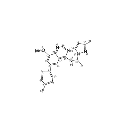 COc1cc(-c2ccc(F)cc2)cc2c(NC(C)n3ccc(C)n3)ncnc12